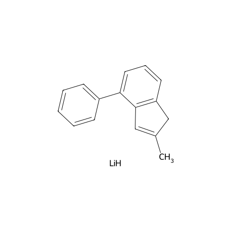 CC1=Cc2c(cccc2-c2ccccc2)C1.[LiH]